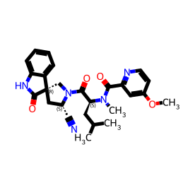 COc1ccnc(C(=O)N(C)[C@@H](CC(C)C)C(=O)N2C[C@]3(C[C@H]2C#N)C(=O)Nc2ccccc23)c1